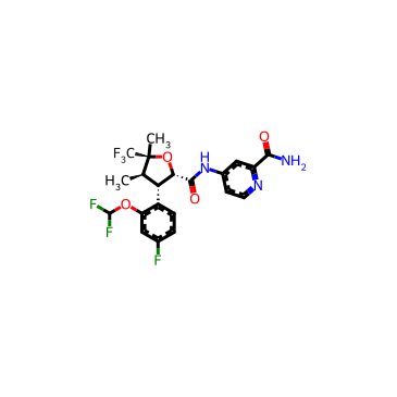 C[C@@H]1[C@@H](c2ccc(F)cc2OC(F)F)[C@@H](C(=O)Nc2ccnc(C(N)=O)c2)O[C@]1(C)C(F)(F)F